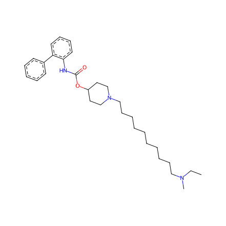 CCN(C)CCCCCCCCCCN1CCC(OC(=O)Nc2ccccc2-c2ccccc2)CC1